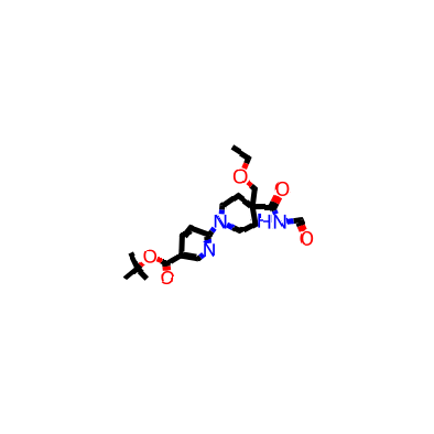 CCOCC1(C(=O)NC=O)CCN(c2ccc(C(=O)OC(C)(C)C)cn2)CC1